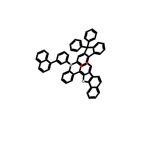 c1ccc(C2(c3ccccc3)c3ccccc3-c3ccc(N(c4cccc(-c5cccc6ccccc56)c4)c4ccccc4-c4cccc5c4oc4c6ccccc6ccc54)cc32)cc1